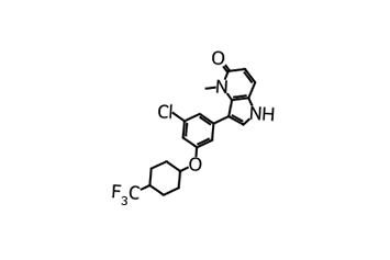 Cn1c(=O)ccc2[nH]cc(-c3cc(Cl)cc(OC4CCC(C(F)(F)F)CC4)c3)c21